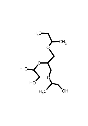 CCC(C)OCC(COC(C)CO)OC(C)CO